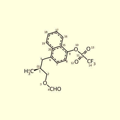 C[C@H](COC=O)Cc1ccc(OS(=O)(=O)C(F)(F)F)c2ccccc12